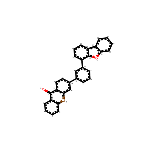 O=c1c2ccccc2sc2cc(-c3cccc(-c4cccc5c4oc4ccccc45)c3)ccc12